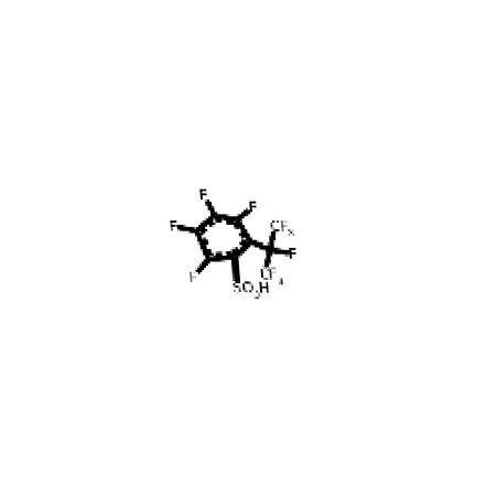 O=S(=O)(O)c1c(F)c(F)c(F)c(F)c1C(F)(C(F)(F)F)C(F)(F)F